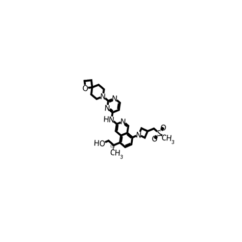 C[C@H](CO)c1ccc(N2CC(CS(C)(=O)=O)C2)c2cnc(Nc3ccnc(N4CCC5(CCO5)CC4)n3)cc12